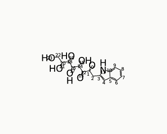 O=C(Cc1cc2ccccc2[nH]1)C(=O)C(O)C(O)C(O)C(O)CO